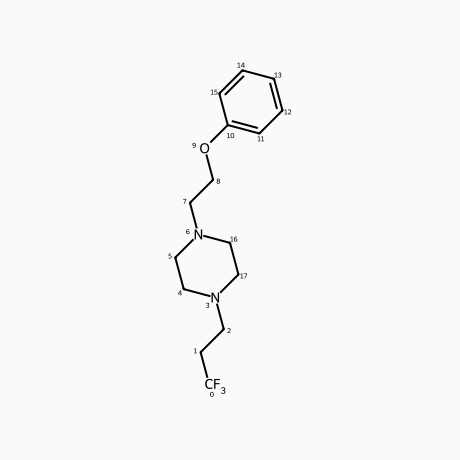 FC(F)(F)CCN1CCN(CCOc2ccccc2)CC1